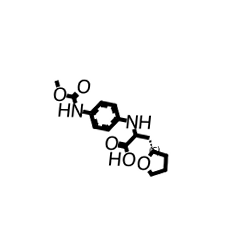 COC(=O)Nc1ccc(NC(C[C@@H]2CCCO2)C(=O)O)cc1